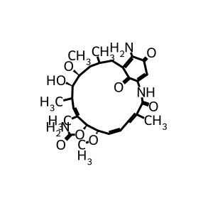 CO[C@H]1/C=C\C=C(/C)C(=O)NC2=CC(=O)C(N)=C(CC(C)C[C@H](OC)[C@H](O)C(C)/C=C(\C)[C@@H]1OC(N)=O)C2=O